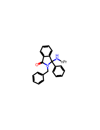 CCCNC1(c2ccccc2)c2ccccc2C(=O)N1Cc1ccccc1